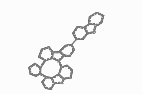 c1ccc2c(c1)oc1cc(-c3ccc4c(c3)c3cccc5c6ccccc6c6cccc7sc8cccc(c8c76)n4c53)ccc12